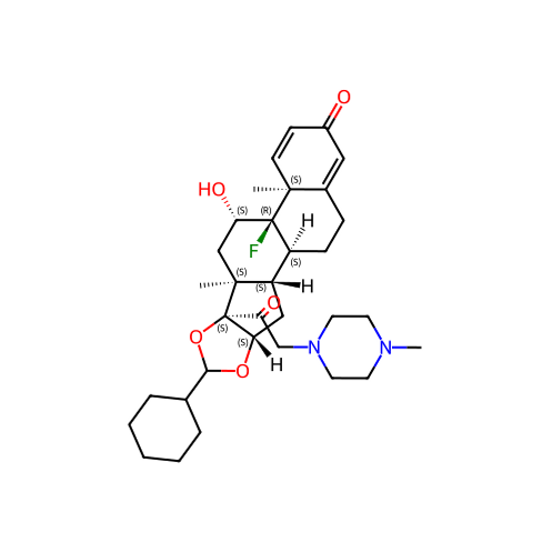 CN1CCN(CC(=O)[C@@]23OC(C4CCCCC4)O[C@H]2C[C@H]2[C@@H]4CCC5=CC(=O)C=C[C@]5(C)[C@@]4(F)[C@@H](O)C[C@@]23C)CC1